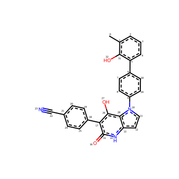 Cc1cccc(-c2ccc(-n3ccc4[nH]c(=O)c(-c5ccc(C#N)cc5)c(O)c43)cc2)c1O